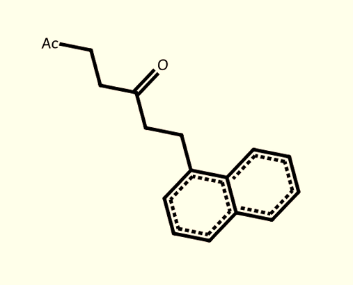 CC(=O)CCC(=O)CCc1cccc2ccccc12